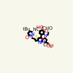 CC(C)(C)c1cnn(Cc2cc3nccc(-c4cc(C#N)cc5c4N([C@@H]4CN[C@@](C)(CO)C4)CCO5)c3s2)c(=O)c1.O=CO